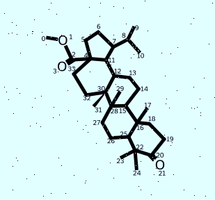 COC(=O)C12CCC(C(C)C)C1C1CCC3C4(C)CCC(=O)C(C)(C)C4CCC3(C)[C@]1(C)CC2